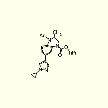 CCCOC(=O)N1C[C@H](C)N(C(C)=O)c2ccc(-c3cnn(C4CC4)c3)cc21